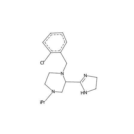 CC(C)N1CCN(Cc2ccccc2Cl)C(C2=NCCN2)C1